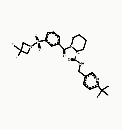 O=C(NCc1ccc(C(F)(F)F)nc1)[C@H]1CCCCN1C(=O)c1cccc(S(=O)(=O)N2CC(F)(F)C2)c1